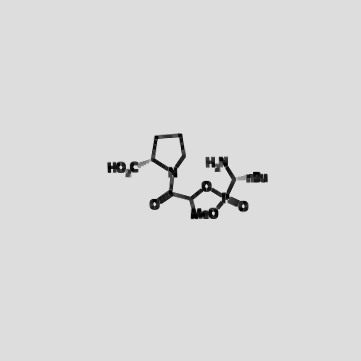 CCCC[C@@H](N)P(=O)(OC)OC(C)C(=O)N1CCC[C@H]1C(=O)O